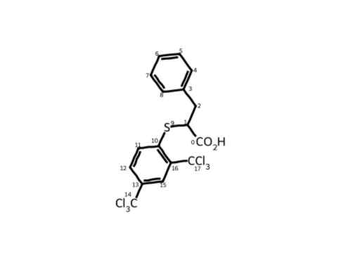 O=C(O)C(Cc1ccccc1)Sc1ccc(C(Cl)(Cl)Cl)cc1C(Cl)(Cl)Cl